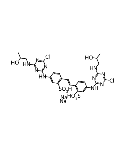 CC(O)CNc1nc(Cl)nc(Nc2ccc(C=Cc3ccc(Nc4nc(Cl)nc(NCC(C)O)n4)cc3S(=O)(=O)O)c(S(=O)(=O)O)c2)n1.[Na].[Na]